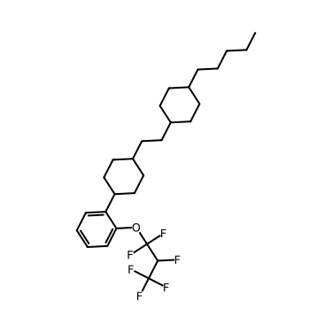 CCCCCC1CCC(CCC2CCC(c3ccccc3OC(F)(F)C(F)C(F)(F)F)CC2)CC1